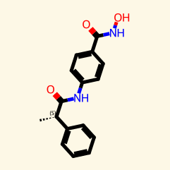 C[C@H](C(=O)Nc1ccc(C(=O)NO)cc1)c1ccccc1